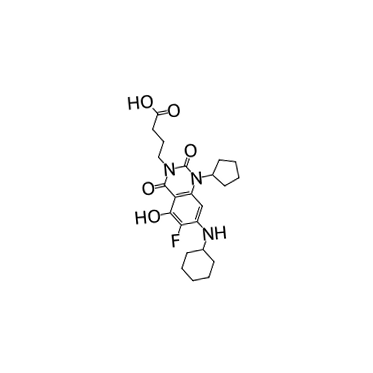 O=C(O)CCCn1c(=O)c2c(O)c(F)c(NC3CCCCC3)cc2n(C2CCCC2)c1=O